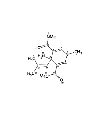 COC(=O)C1=CN(C)C=C(C(=O)OC)C1(N)C=C(C)C